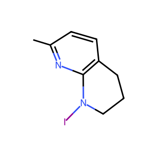 Cc1ccc2c(n1)N(I)CCC2